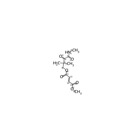 CNC(=O)C(=O)C(C)(C)COC(=O)/C=C/C(=O)OC